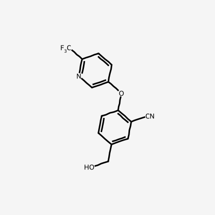 N#Cc1cc(CO)ccc1Oc1ccc(C(F)(F)F)nc1